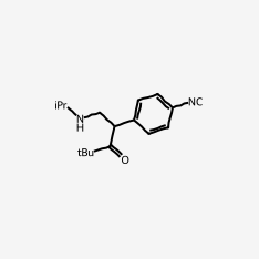 [C-]#[N+]c1ccc(C(CNC(C)C)C(=O)C(C)(C)C)cc1